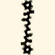 O=C(CN=NCC(=O)CC(=O)Nc1ccccc1)CC(=O)Nc1ccccc1